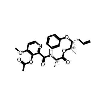 C=CC[C@@H](Oc1ccccc1)[C@H](C)OC(=O)[C@H](C)NC(=O)c1nccc(OC)c1OC(C)=O